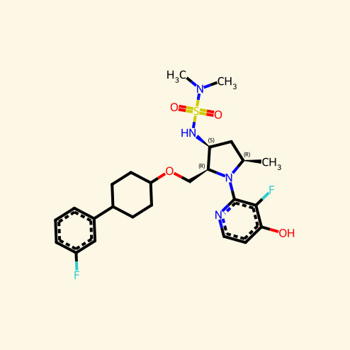 C[C@@H]1C[C@H](NS(=O)(=O)N(C)C)[C@H](COC2CCC(c3cccc(F)c3)CC2)N1c1nccc(O)c1F